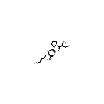 CC(C)C[C@H](N)C(=O)N1CCC[C@H]1C(=O)N[C@@H](CCCCN)C(N)=O